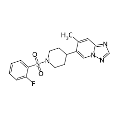 Cc1cc2ncnn2cc1C1CCN(S(=O)(=O)c2ccccc2F)CC1